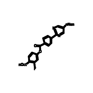 CCCCCCCCCc1cnc(-c2ccc(C(=O)Oc3ccc(CCCCCCCC)c(F)c3)cc2)nc1